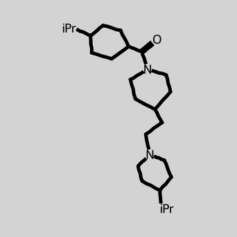 CC(C)C1CCC(C(=O)N2CCC(CCN3CCC(C(C)C)CC3)CC2)CC1